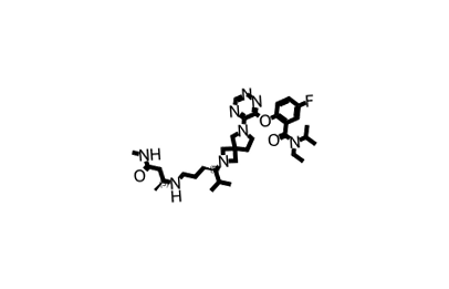 CCN(C(=O)c1cc(F)ccc1Oc1nncnc1N1CCC2(C1)CN([C@H](CCCN[C@@H](C)CC(=O)NC)C(C)C)C2)C(C)C